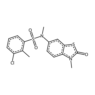 Cc1c(Cl)cccc1S(=O)(=O)N(C)c1ccc2c(c1)sc(=O)n2C